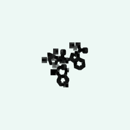 NC(=O)n1cc(NC(=O)N2[C@@H]3C[C@@H]3C[C@H]2C(=O)Nc2ccncc2F)c2ccccc21